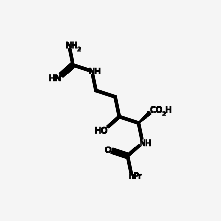 CCCC(=O)N[C@H](C(=O)O)C(O)CCNC(=N)N